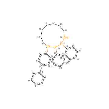 c1ccc(-c2ccc(P3CCCCCCCPP(c4ccccc4)P3c3ccccc3)cc2)cc1